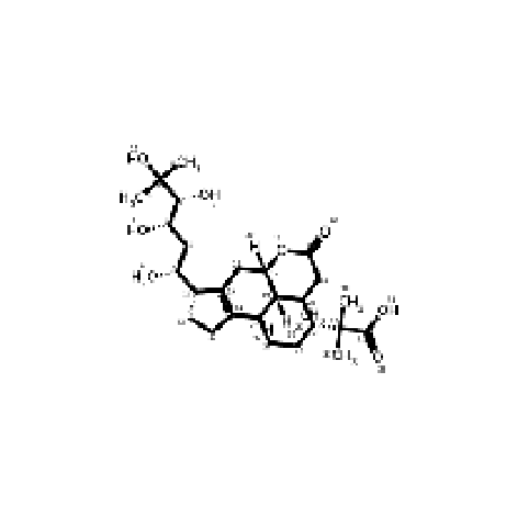 C[C@H](C[C@H](O)[C@@H](O)C(C)(C)O)[C@H]1CCC2=C1C[C@@H]1OC(=O)C[C@]3(C)[C@@H]1[C@H]2CC[C@H]3C(C)(C)C(=O)O